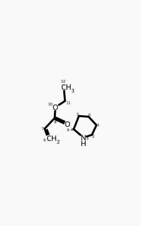 C1CCNCC1.C=CC(=O)OCC